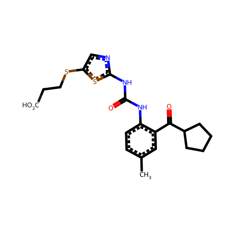 Cc1ccc(NC(=O)Nc2ncc(SCCC(=O)O)s2)c(C(=O)C2CCCC2)c1